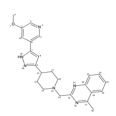 COc1cncc(-c2cc(C3CCN(Cc4nc(C)c5ccccc5n4)CC3)n[nH]2)c1